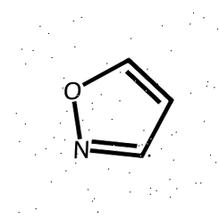 [c]1ccon1